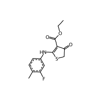 CCOC(=O)C1=C(Nc2ccc(C)c(F)c2)SCC1=O